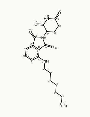 CCCCCCCNc1cccc2c1C(=O)N(C1CCC(=O)NC1=O)C2=O